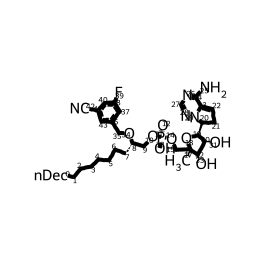 CCCCCCCCCCCCCCCCC[C@@H](COP(=O)(O)OC[C@@]1(C)O[C@@H](C2CC=C3C(N)=NC=NN32)[C@H](O)[C@@H]1O)OCc1cc(F)cc(C#N)c1